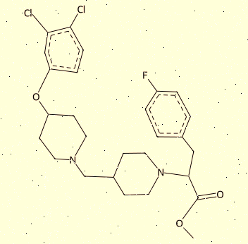 COC(=O)C(Cc1ccc(F)cc1)N1CCC(CN2CCC(Oc3ccc(Cl)c(Cl)c3)CC2)CC1